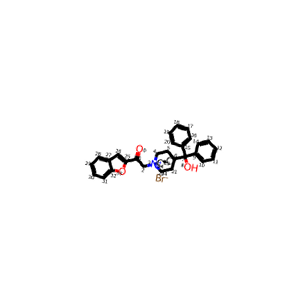 O=C(C[N+]12CCC(C(O)(c3ccccc3)c3ccccc3)(CC1)CC2)c1cc2ccccc2o1.[Br-]